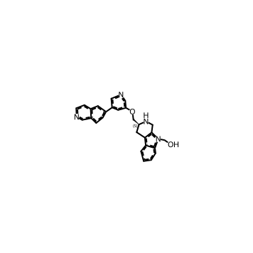 OCn1c2c(c3ccccc31)C[C@@H](COc1cncc(-c3ccc4cnccc4c3)c1)NC2